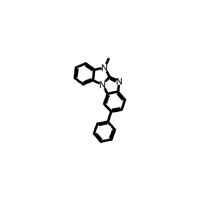 Cn1c2ccccc2n2c3cc(-c4ccccc4)ccc3nc12